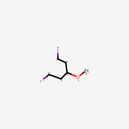 CCOC(CCI)CCI